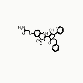 NC(=O)COc1ccc2c(c1)S(=O)(=O)N=C(C1=C(O)C(c3ccccn3)N(Cc3ccccc3)C1=O)N2